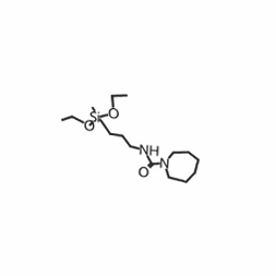 CCO[Si](C)(CCCNC(=O)N1CCCCCC1)OCC